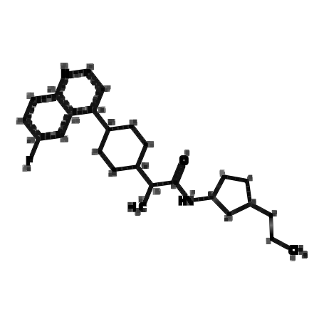 CCCC1CCC(NC(=O)C(C)C2CCC(c3ccnc4ccc(F)cc34)CC2)C1